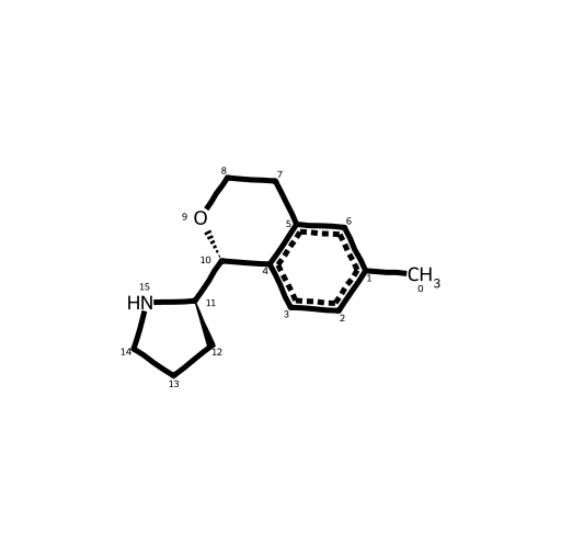 Cc1ccc2c(c1)CCO[C@H]2[C@H]1CCCN1